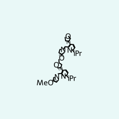 CO[C@H]1CCN(Cc2nc(C(C)C)ccc2[C@H]2COC(CO[C@H]3CCN(Cc4nc(C(C)C)ccc4[C@H]4CCOC4)C3)C2)C1